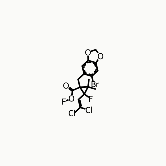 CC1(C)C(F)(C=C(Cl)Cl)C1(Cc1cc2c(cc1Br)OCO2)C(=O)OF